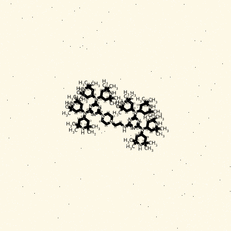 CC1(C)CC(N(c2nc(NCCN3CCN(c4nc(N(C5CC(C)(C)NC(C)(C)C5)C5CC(C)(C)NC(C)(C)C5)nc(N(C5CC(C)(C)NC(C)(C)C5)C5CC(C)(C)NC(C)(C)C5)n4)CC3)nc(N(C3CC(C)(C)NC(C)(C)C3)C3CC(C)(C)NC(C)(C)C3)n2)C2CC(C)(C)NC(C)(C)C2)CC(C)(C)N1